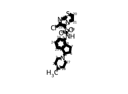 CN1CCN(C2CCc3c(NS(=O)(=O)c4c(Cl)nc5sccn45)cccc32)CC1